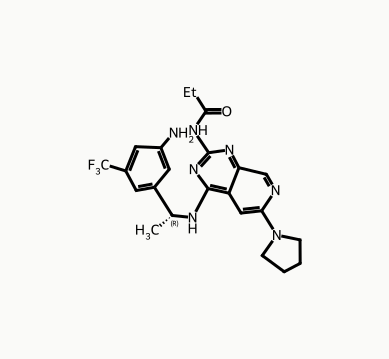 CCC(=O)Nc1nc(N[C@H](C)c2cc(N)cc(C(F)(F)F)c2)c2cc(N3CCCC3)ncc2n1